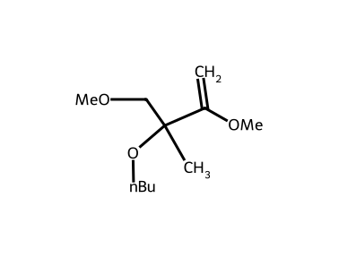 C=C(OC)C(C)(COC)OCCCC